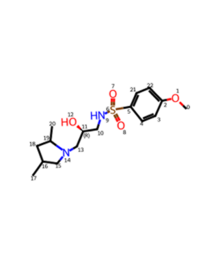 COc1ccc(S(=O)(=O)NC[C@H](O)CN2CC(C)CC2C)cc1